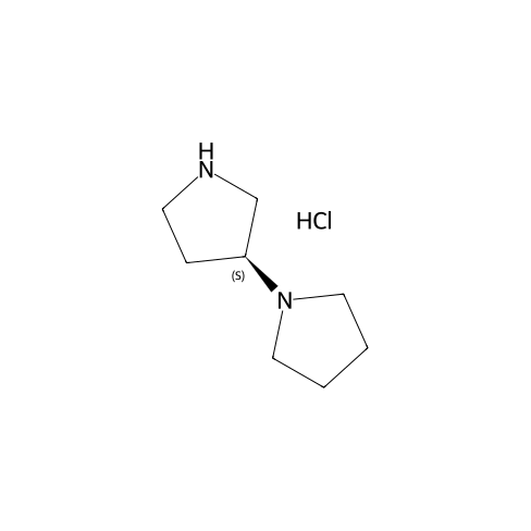 C1CCN([C@H]2CCNC2)C1.Cl